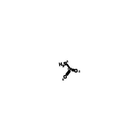 O=P(=O)[SiH3]